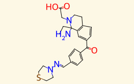 CCC1(N)c2cc(C(=O)c3ccc(C=NN4CCSCC4)cc3)ccc2CCN1CC(=O)O